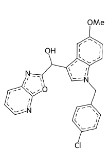 COc1ccc2c(c1)c(C(O)c1nc3cccnc3o1)cn2Cc1ccc(Cl)cc1